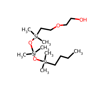 CCCC[Si](C)(C)O[Si](C)(C)O[Si](C)(C)CCOCCO